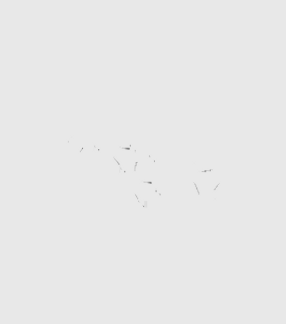 CC(=O)N1CCc2nc(N3CCC(Oc4ccc(F)cc4F)CC3)c(/C(C=N)=C/NC(F)F)nc2C1